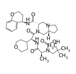 C[C@@H](C(=O)N[C@H](C(=O)N1C[C@H]2CCCN2C[C@H]1C(=O)N[C@@H]1CCOc2ccccc21)C1CCOCC1)N(CC(C)(C)C)C(=O)O